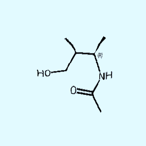 CC(=O)N[C@H](C)C(C)CO